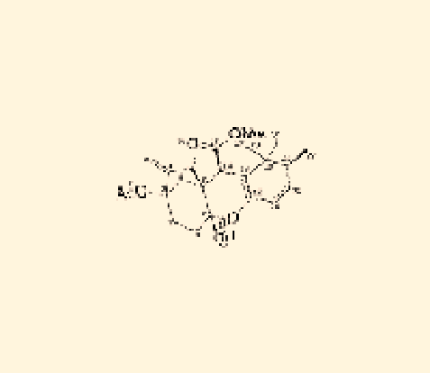 C=C1C[C@]23C[C@@]1(OC(C)=O)CC[C@@]2(O)OC1=C([C@@H]3C(=O)OC)C(C)(C)[C@@H](C)C=C1